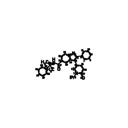 CC(C)n1nc(-c2c(-c3ccccc3)nn3ccc(C(=O)NC(C)(C)c4ccccc4)cc23)ccc1=O